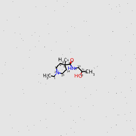 CCN1CCC(C)(C(=O)NCC(C)O)CC1